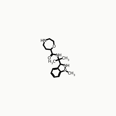 CN1NC(C(C)(C)NC(=O)C2CCNCCO2)c2ccccc21